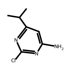 CC(C)c1cc(N)nc(Cl)n1